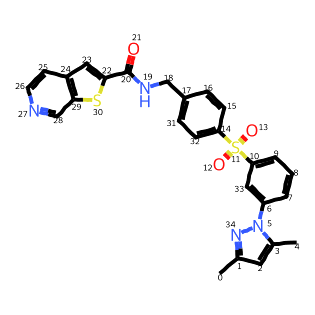 Cc1cc(C)n(-c2cccc(S(=O)(=O)c3ccc(CNC(=O)c4cc5ccncc5s4)cc3)c2)n1